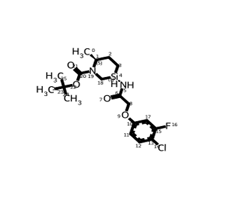 C[C@H]1CC[Si@H](NC(=O)COc2ccc(Cl)c(F)c2)CN1C(=O)OC(C)(C)C